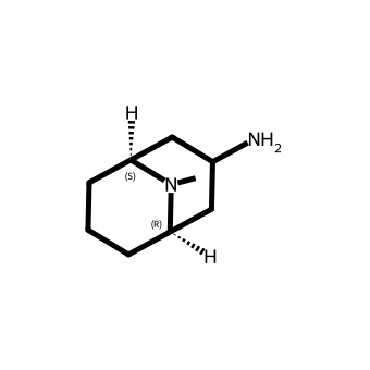 CN1[C@@H]2CCC[C@H]1CC(N)C2